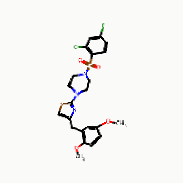 COc1ccc(OC)c(Cc2csc(N3CCN(S(=O)(=O)c4ccc(F)cc4Cl)CC3)n2)c1